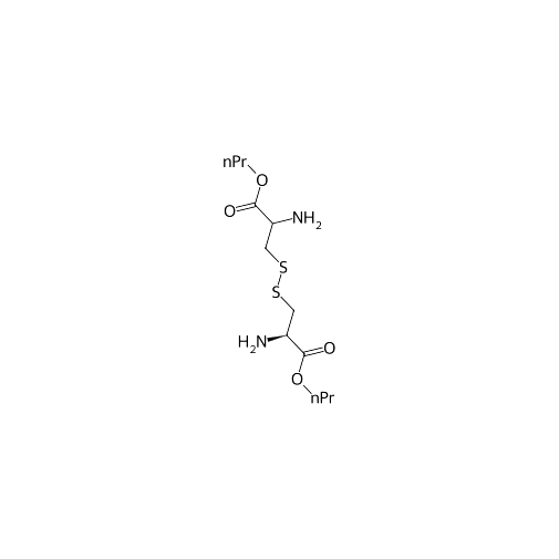 CCCOC(=O)C(N)CSSC[C@H](N)C(=O)OCCC